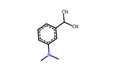 CN(C)c1cccc(C(C#N)C#N)c1